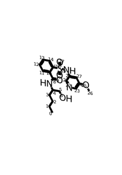 CCCCC(CO)NC(=O)c1ccccc1S(=O)(=O)Nc1cncc(OC)c1